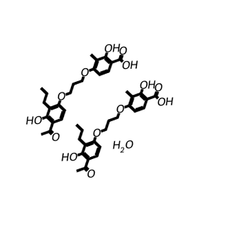 CCCc1c(OCCCOc2ccc(C(=O)O)c(O)c2C)ccc(C(C)=O)c1O.CCCc1c(OCCCOc2ccc(C(=O)O)c(O)c2C)ccc(C(C)=O)c1O.O